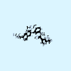 CNc1cc2ncc(-c3cc(NC(=O)c4ccnc(C(F)(F)F)c4)ccc3C)cc2cn1